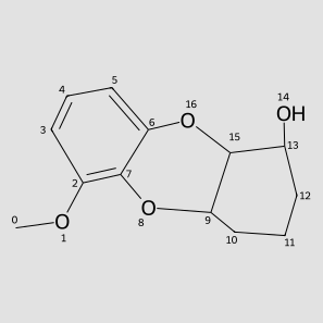 COc1cccc2c1OC1CCCC(O)C1O2